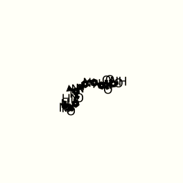 Cn1cnnc1CC1(c2cccc(NC(=O)c3cc(N4CC5(CCN(CC6CCN(c7ccc8c(c7)C(=O)N(C7CCC(=O)NC7=O)C8=O)CC6)CC5)C4)nc(C4CC4)n3)c2)COC1